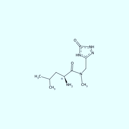 CC(C)C[C@H](N)C(=O)N(C)Cc1n[nH]c(=O)[nH]1